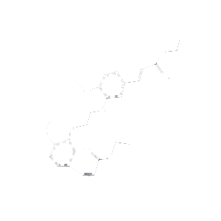 CCOC(=O)/C=C\c1ccc(OC)c(OCCOc2cc(/C=C/C(=O)OCC)ccc2OC)c1